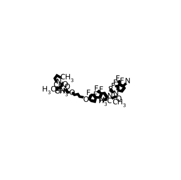 CC1CCCN1C(=O)[C@@H](NC(=O)COCCCCOc1ccc(-c2ncc(N3C(=S)N(c4ccc(C#N)c(C(F)(F)F)c4F)C(=O)C3(C)C)cc2C(F)(F)F)cc1F)C(C)(C)C